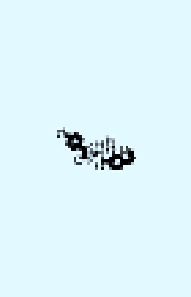 O=C(NC1=NC(=O)C(c2ccc(Cl)cc2)S1)c1ccc2cccnc2c1O